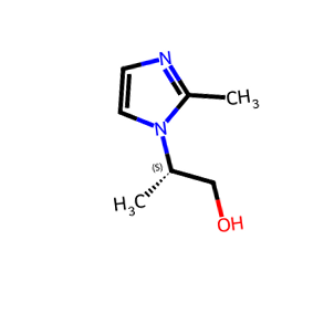 Cc1nccn1[C@@H](C)CO